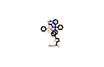 COC(=O)c1ccc(-c2ccc(N(C(c3cnc[nH]3)C(c3ccccc3)(c3ccccc3)c3ccccc3)S(=O)(=O)c3ccccc3)cc2)o1